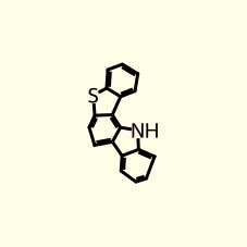 c1ccc2c(c1)[nH]c1c2ccc2sc3ccccc3c21